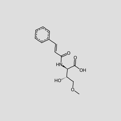 COC[C@H](O)[C@@H](NC(=O)C=Cc1ccccc1)C(=O)O